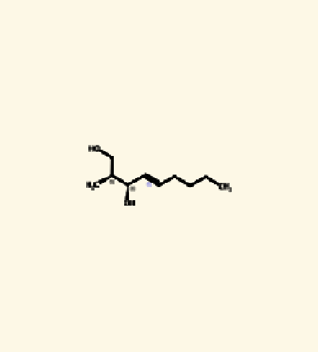 CCCC/C=C/[C@@H](O)[C@@H](C)CO